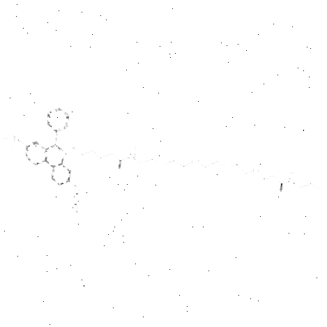 CCCNC(=O)CCOCCOCCOCCOCCNC(=O)CCCCC[n+]1c(-c2ccccc2)c2cc(N)ccc2c2ccc(N=[N+]=[N-])cc21